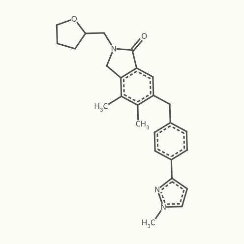 Cc1c(Cc2ccc(-c3ccn(C)n3)cc2)cc2c(c1C)CN(CC1CCCO1)C2=O